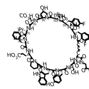 CCCC[C@H]1C(=O)N2C[C@@H](O)C[C@@H]2C(=O)N[C@@H](CC(=O)O)C(=O)N[C@@H](C(C)C)C(=O)N(C)[C@@H](Cc2ccccc2)C(=O)N[C@@H](CCC(=O)O)C(=O)N2CCCC[C@@H]2C(=O)N[C@@H](Cc2c[nH]c3ccccc23)C(=O)N[C@@H](Cc2ccc(O)cc2)C(=O)N[C@@H](CO)C(=O)N[C@H](C(=O)NCC(N)=O)CSCC(=O)N[C@@H](Cc2cc(F)c(F)c(F)c2)C(=O)N(C)[C@@H](Cc2ccc(F)cc2)C(=O)N1C